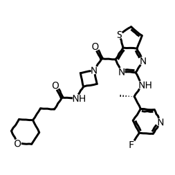 C[C@H](Nc1nc(C(=O)N2CC(NC(=O)CCC3CCOCC3)C2)c2sccc2n1)c1cncc(F)c1